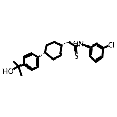 CC(C)(O)c1ccc([C@H]2CC[C@@H](CC(=S)Nc3cccc(Cl)c3)CC2)cc1